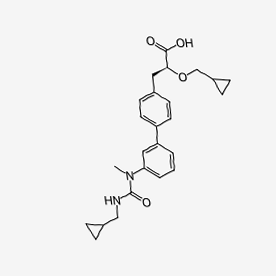 CN(C(=O)NCC1CC1)c1cccc(-c2ccc(C[C@H](OCC3CC3)C(=O)O)cc2)c1